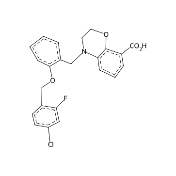 O=C(O)c1cccc2c1OCCN2Cc1ccccc1OCc1ccc(Cl)cc1F